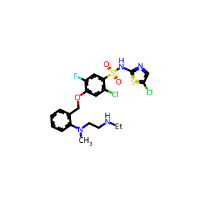 CCNCCN(C)c1ccccc1COc1cc(Cl)c(S(=O)(=O)Nc2ncc(Cl)s2)cc1F